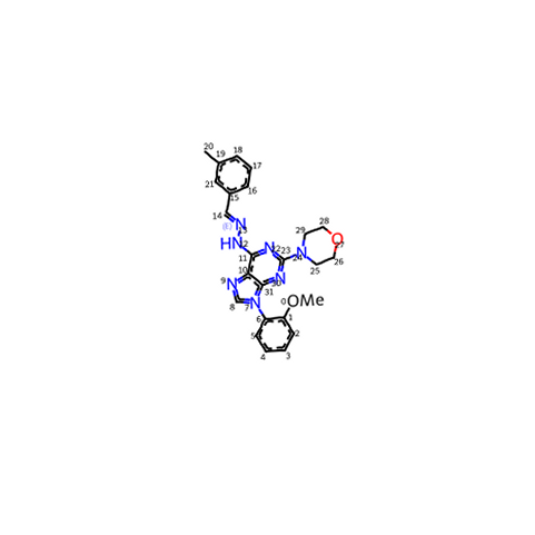 COc1ccccc1-n1cnc2c(N/N=C/c3cccc(C)c3)nc(N3CCOCC3)nc21